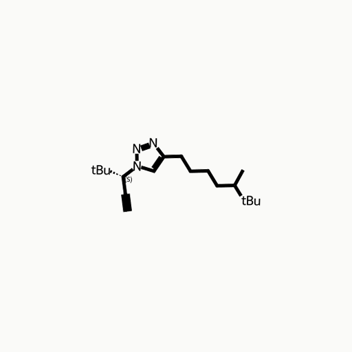 C#C[C@@H](n1cc(CCCCC(C)C(C)(C)C)nn1)C(C)(C)C